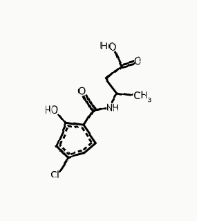 CC(CC(=O)O)NC(=O)c1ccc(Cl)cc1O